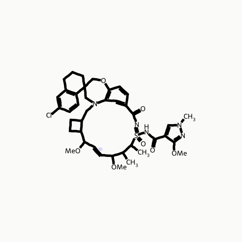 COc1nn(C)cc1C(=O)NS1(=O)=NC(=O)c2ccc3c(c2)N(CC2CCC2C(OC)/C=C/C(OC)C(C)C1C)CC1(CCCc2cc(Cl)ccc21)CO3